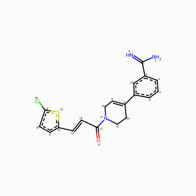 N=C(N)c1cccc(C2=CCN(C(=O)/C=C/c3ccc(Cl)s3)CC2)c1